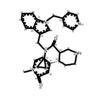 Cn1ccc([C@H]2CCNCC2C(=O)N(Cc2cn(Cc3ccncc3)c3ccccc23)C2CC2)cc1=O